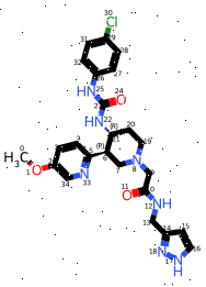 COc1ccc([C@@H]2CN(CC(=O)NCc3cc[nH]n3)CC[C@H]2NC(=O)Nc2ccc(Cl)cc2)nc1